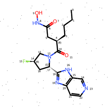 CCCC[C@H](CC(=O)NO)C(=O)N1C[C@H](F)C[C@H]1c1nc2ccncc2[nH]1